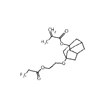 C=C(C)C(=O)OC12CC3CC(CC(OCCOC(=O)CC(F)(F)F)(C3)C1)C2